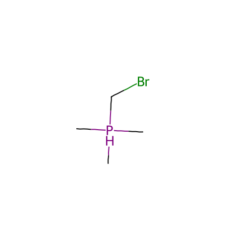 C[PH](C)(C)CBr